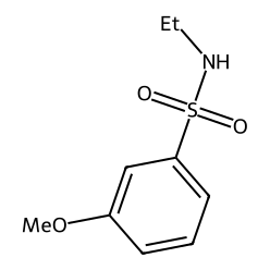 [CH2]CNS(=O)(=O)c1cccc(OC)c1